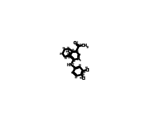 CC(=O)c1cnc(Nc2ccc(Cl)c(Cl)c2)c2c1C1CCC2CC1